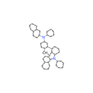 Cc1ccc(N(c2ccccc2)c2ccc3ccccc3c2)cc1-c1cccc2c1c1ccc3ccccc3c1n2-c1ccccc1